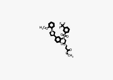 COC(=O)CC[C@H]1CN(S(=O)(=O)c2cccc(C(F)(F)F)c2)c2cc(C3CCN(c4ccccc4OC)C3)ccc2O1